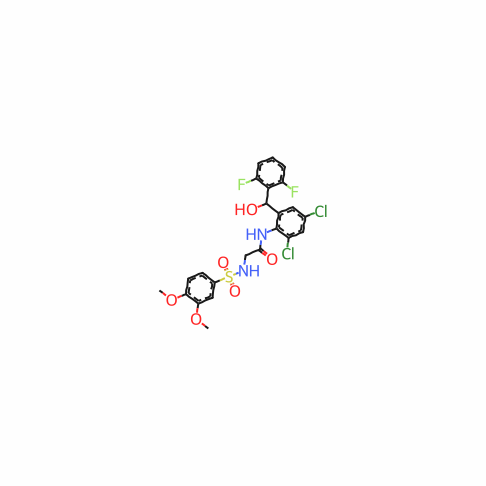 COc1ccc(S(=O)(=O)NCC(=O)Nc2c(Cl)cc(Cl)cc2C(O)c2c(F)cccc2F)cc1OC